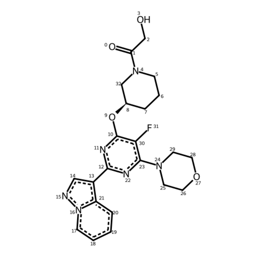 O=C(CO)N1CCC[C@@H](Oc2nc(-c3cnn4ccccc34)nc(N3CCOCC3)c2F)C1